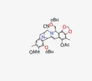 CCCCOC[C@H]1c2c(c(OC(C)=O)c(C)c3c2OCO3)C=C2C3c4c(cc(C)c(OC)c4OCCCC)CC([C@H](C#N)N21)N3C